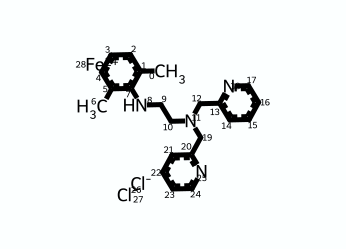 Cc1cccc(C)c1NCCN(Cc1ccccn1)Cc1ccccn1.[Cl-].[Cl-].[Fe+2]